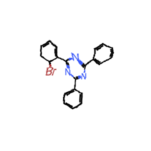 BrC1CC=CC=C1c1nc(-c2ccccc2)nc(-c2ccccc2)n1